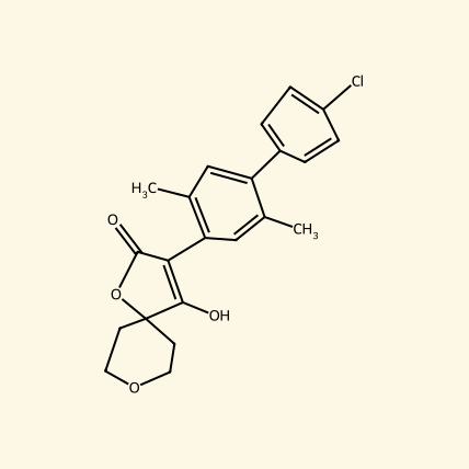 Cc1cc(-c2ccc(Cl)cc2)c(C)cc1C1=C(O)C2(CCOCC2)OC1=O